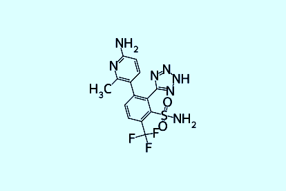 Cc1nc(N)ccc1-c1ccc(C(F)(F)F)c(S(N)(=O)=O)c1-c1nn[nH]n1